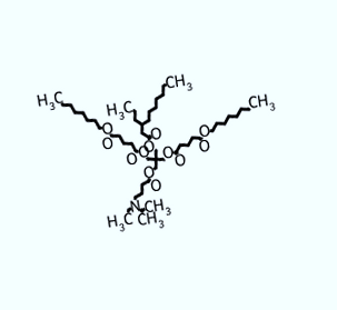 CCCCCCCCOC(=O)CCCC(=O)OCC(COC(=O)CCCC(=O)OCCCCCCCC)(COC(=O)CCCN(CC)C(C)C)COC(=O)CC(CCC)CCCCCCC